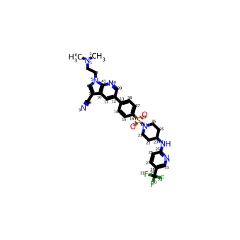 CN(C)CCn1cc(C#N)c2cc(-c3ccc(S(=O)(=O)N4CCC(Nc5ccc(C(F)(F)F)cn5)CC4)cc3)cnc21